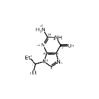 CCC(CC)n1cnc2c(=O)[nH]c(N)nc21